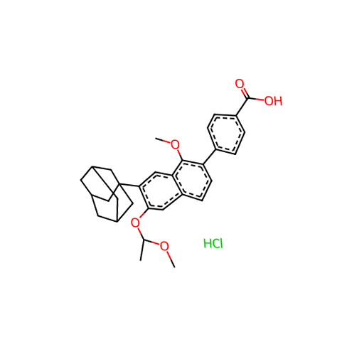 COc1c(-c2ccc(C(=O)O)cc2)ccc2cc(OC(C)OC)c(C34CC5CC(CC(C5)C3)C4)cc12.Cl